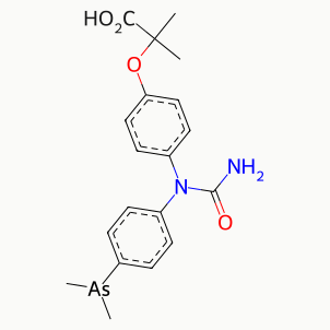 C[As](C)c1ccc(N(C(N)=O)c2ccc(OC(C)(C)C(=O)O)cc2)cc1